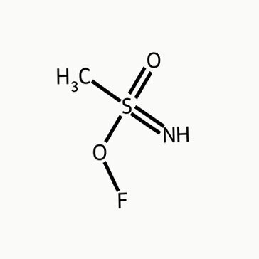 CS(=N)(=O)OF